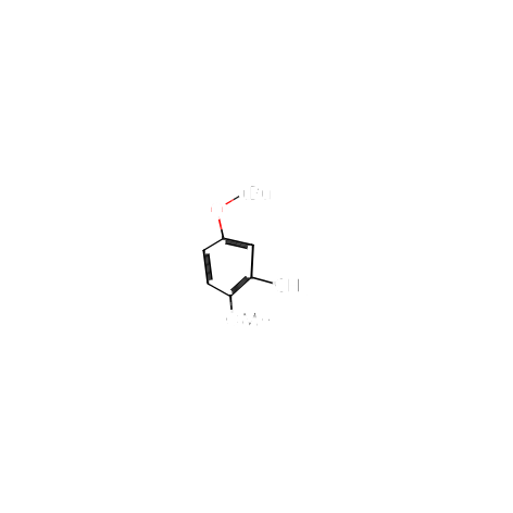 COc1ccc(OC(C)(C)C)cc1C